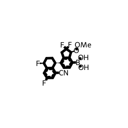 COO[C@H]1c2c(B(O)O)ccc([C@H]3CC[C@H](F)c4cc(F)cc(C#N)c43)c2CC1(F)F